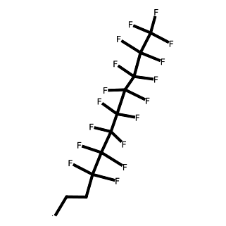 [CH2]CCC(F)(F)C(F)(F)C(F)(F)C(F)(F)C(F)(F)C(F)(F)C(F)(F)C(F)(F)F